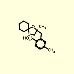 Cc1ccc(S(=O)(=O)O)c(C[C@@]2(C)COC3(CCCCC3)O2)c1